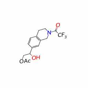 CC(=O)OCC(O)c1ccc2c(c1)CN(C(=O)C(F)(F)F)CC2